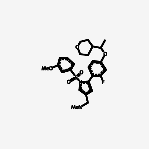 CNCc1cc(-c2ccc(OC(C)C3CCOCC3)cc2F)n(S(=O)(=O)c2cccc(OC)c2)c1